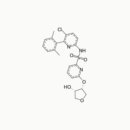 Cc1cccc(C)c1-c1nc(NS(=O)(=O)c2cccc(O[C@@H]3COC[C@@H]3O)n2)ccc1Cl